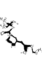 CCOC(=O)C=C1CCCN(C(=O)OC(C)(C)C)C1